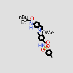 CCCCC(CC)C(=O)Nc1ccc2ccn(Cc3ccc(C(=O)NS(=O)(=O)c4ccc(C)cc4)cc3OC)c2c1